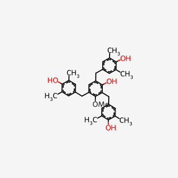 COc1c(Cc2cc(C)c(O)c(C)c2)cc(Cc2cc(C)c(O)c(C)c2)c(O)c1Cc1cc(C)c(O)c(C)c1